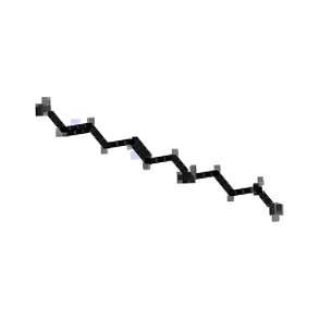 CCSCCNC/C=C/C/C=C/C(C)C